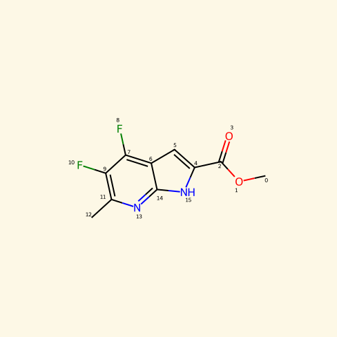 COC(=O)c1cc2c(F)c(F)c(C)nc2[nH]1